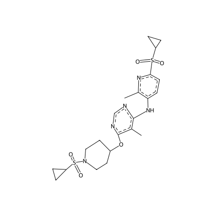 Cc1nc(S(=O)(=O)C2CC2)ccc1Nc1ncnc(OC2CCN(S(=O)(=O)C3CC3)CC2)c1C